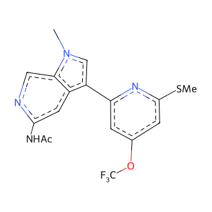 CSc1cc(OC(F)(F)F)cc(-c2cn(C)c3cnc(NC(C)=O)cc23)n1